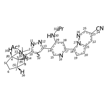 CC(=O)N(C)[C@H]1[C@@H]2CC[C@H]1CN(c1nnc(-c3cnc(-c4ccc5cc(C#N)cnn45)cc3NC(C)C)s1)C2